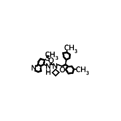 CSc1ccc2ncccc2c1NC(=O)N(Cc1oc2ccc(C)cc2c1-c1ccc(C)cc1)C1CCC1